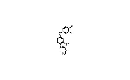 Cc1cc(Oc2ccc3nc(CO)n(C)c3c2)ccc1F